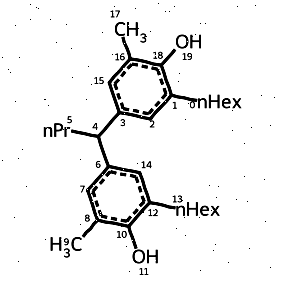 CCCCCCc1cc(C(CCC)c2cc(C)c(O)c(CCCCCC)c2)cc(C)c1O